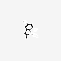 CCc1ccc2c(c1)cc(C)[s+]2C(F)(F)F.[Cl-]